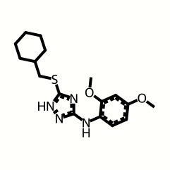 COc1ccc(Nc2n[nH]c(SCC3CCCCC3)n2)c(OC)c1